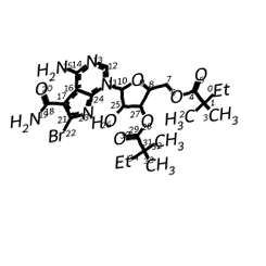 CCC(C)(C)C(=O)OCC1OC(n2cnc(N)c3c(C(N)=O)c(Br)nc2-3)C(O)C1OC(=O)C(C)(C)CC